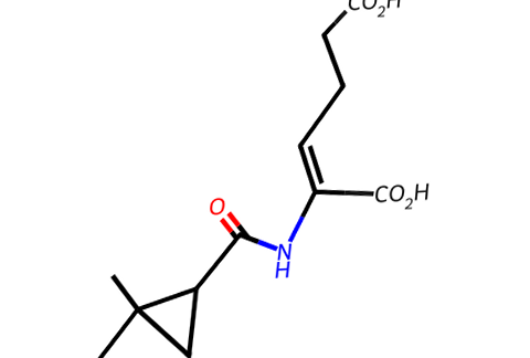 CC1(C)CC1C(=O)NC(=CCCC(=O)O)C(=O)O